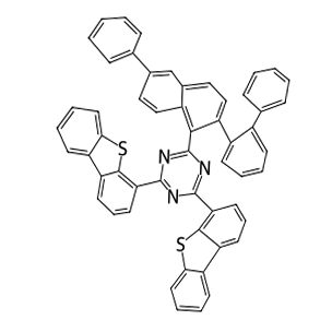 c1ccc(-c2ccc3c(-c4nc(-c5cccc6c5sc5ccccc56)nc(-c5cccc6c5sc5ccccc56)n4)c(-c4ccccc4-c4ccccc4)ccc3c2)cc1